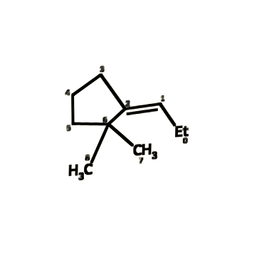 CC/C=C1/CCCC1(C)C